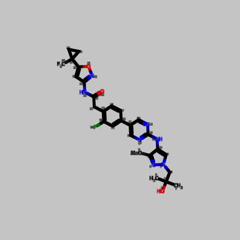 COc1nn(CC(C)(C)O)cc1Nc1ncc(-c2ccc(CC(=O)Nc3cc(C4(C(F)(F)F)CC4)on3)c(F)c2)cn1